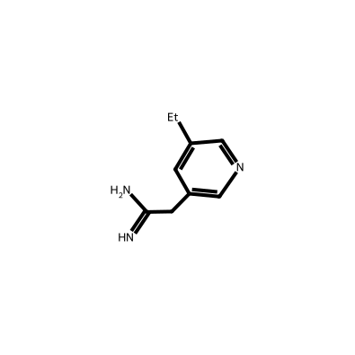 CCc1cncc(CC(=N)N)c1